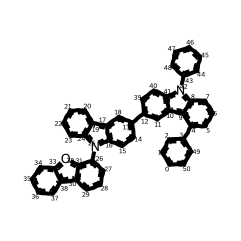 c1ccc(-c2cccc3c2c2cc(-c4ccc5c(c4)c4ccccc4n5-c4cccc5c4oc4ccccc45)ccc2n3-c2ccccc2)cc1